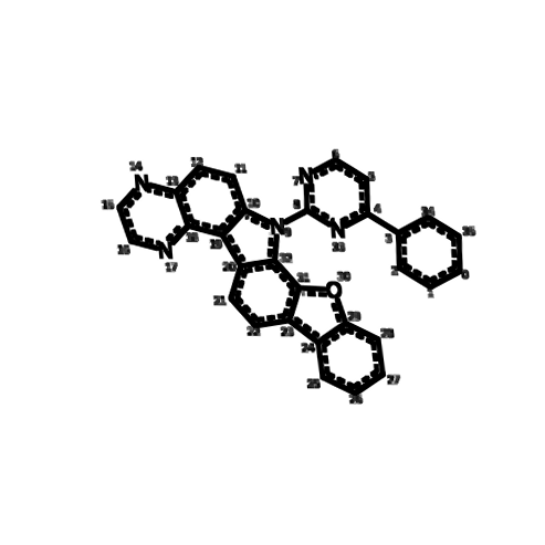 c1ccc(-c2ccnc(-n3c4ccc5nccnc5c4c4ccc5c6ccccc6oc5c43)n2)cc1